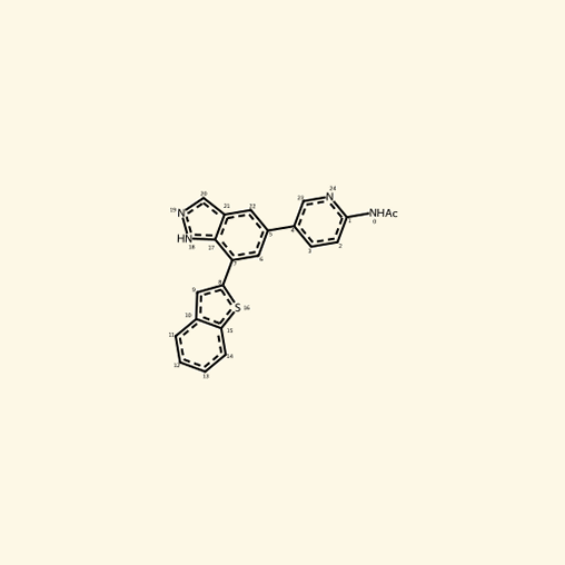 CC(=O)Nc1ccc(-c2cc(-c3cc4ccccc4s3)c3[nH]ncc3c2)cn1